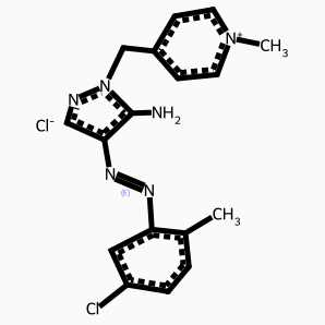 Cc1ccc(Cl)cc1/N=N/c1cnn(Cc2cc[n+](C)cc2)c1N.[Cl-]